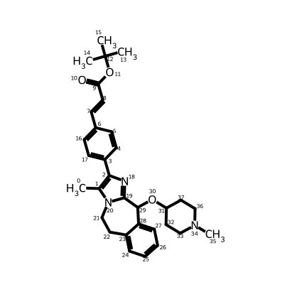 Cc1c(-c2ccc(C=CC(=O)OC(C)(C)C)cc2)nc2n1CCc1ccccc1C2OC1CCN(C)CC1